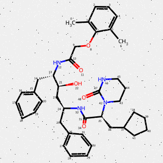 Cc1cccc(C)c1OCC(=O)N[C@@H](Cc1ccccc1)[C@@H](O)C[C@H](Cc1ccccc1)NC(=O)[C@H](CC1CCCC1)N1CCCNC1=O